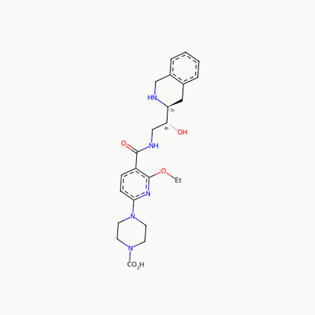 CCOc1nc(N2CCN(C(=O)O)CC2)ccc1C(=O)NC[C@@H](O)[C@@H]1Cc2ccccc2CN1